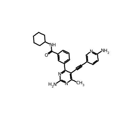 Cc1nc(N)nc(-c2cccc(C(=O)NC3CCCCC3)c2)c1C#Cc1ccc(N)nc1